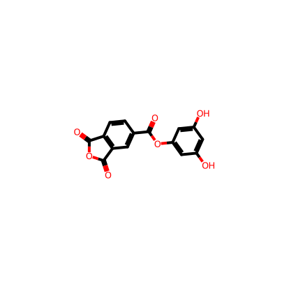 O=C(Oc1cc(O)cc(O)c1)c1ccc2c(c1)C(=O)OC2=O